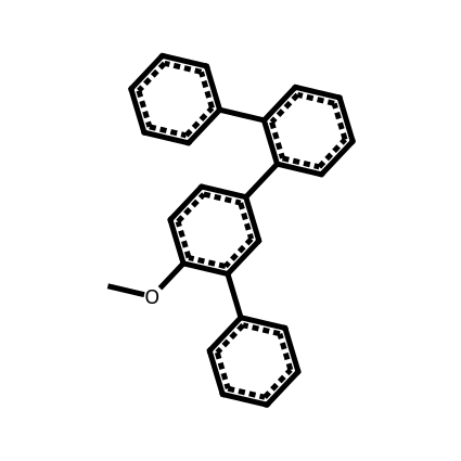 COc1ccc(-c2ccccc2-c2ccccc2)cc1-c1ccccc1